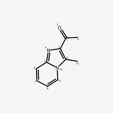 CC(=O)c1nc2ccccn2c1C